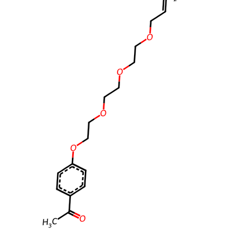 C=CCOCCOCCOCCOc1ccc(C(C)=O)cc1